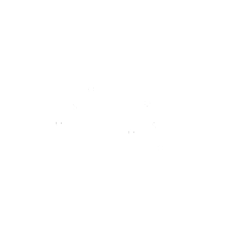 C=CS(=O)(=O)OCCS(C)(=O)=O